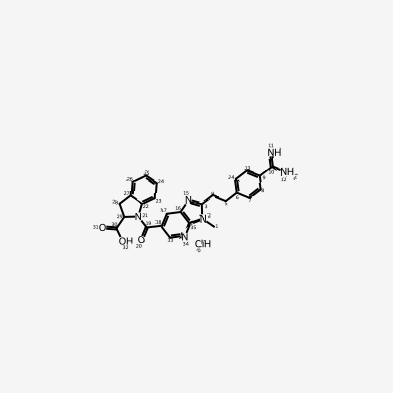 Cl.Cn1c(CCc2ccc(C(=N)N)cc2)nc2cc(C(=O)N3c4ccccc4CC3C(=O)O)cnc21